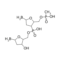 BC1CC(O)C(COP(=O)(O)C2CC(B)OC2COP(C)(=O)O)O1